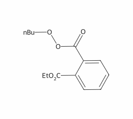 CCCCOOC(=O)c1ccccc1C(=O)OCC